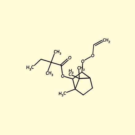 C=COOC1C2CCC(C)(C1OC(=O)C(C)(C)CC)C2(C)C